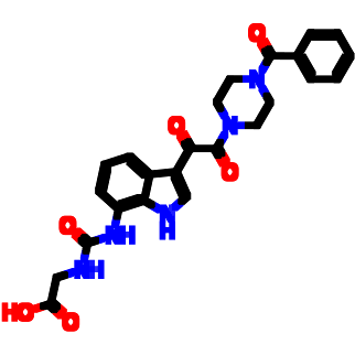 O=C(O)CNC(=O)Nc1cccc2c(C(=O)C(=O)N3CCN(C(=O)c4ccccc4)CC3)c[nH]c12